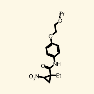 CCC1(C(=O)Nc2ccc(OCCOC(C)C)cc2)CC1[N+](=O)[O-]